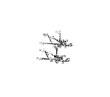 CCCCCCCCC(CCCCCC)COC(=O)CCNC(=O)[C@H](C(C)(C)COC(=O)CCN1CCOCC1)C(CCC(=O)O)(CC(CCCCCC)CCCCCCCC)C(=O)O.CCCCCCCCC(CCCCCC)COC(=O)CCNC(=O)[C@H](C(C)(C)COC(=O)CCN1CCOCC1)C(CCC(=O)O)(CC(CCCCCC)CCCCCCCC)C(=O)O